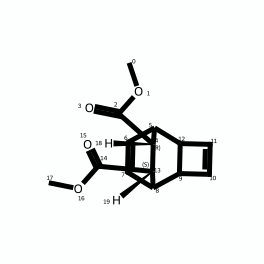 COC(=O)[C@@H]1C2C=CC(C3C=CC32)[C@@H]1C(=O)OC